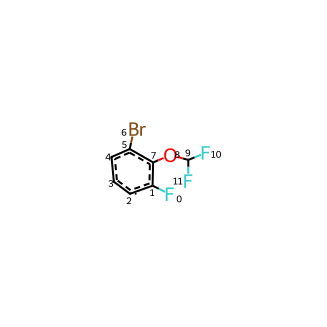 Fc1[c]ccc(Br)c1OC(F)F